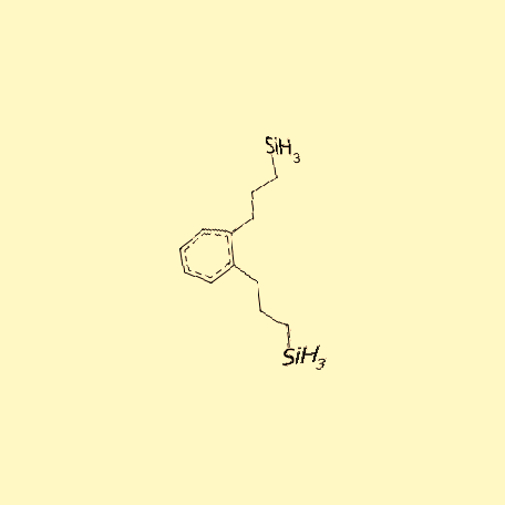 [SiH3]CCCc1ccccc1CCC[SiH3]